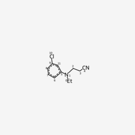 CCN(CCC#N)c1cccc(Cl)c1